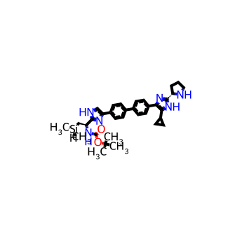 C[SiH](C)C[C@H](NC(=O)OC(C)(C)C)c1nc(-c2ccc(-c3ccc(-c4nc([C@@H]5CCCN5)[nH]c4C4CC4)cc3)cc2)c[nH]1